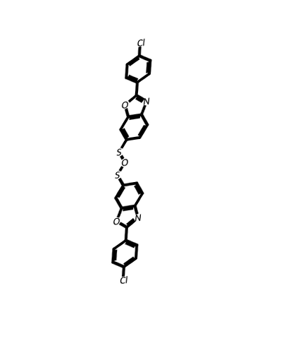 Clc1ccc(-c2nc3ccc(SOSc4ccc5nc(-c6ccc(Cl)cc6)oc5c4)cc3o2)cc1